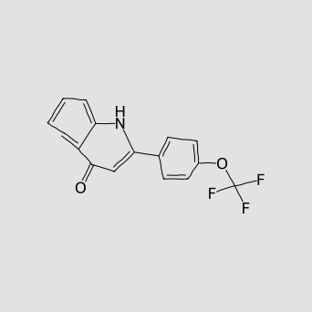 O=c1cc(-c2ccc(OC(F)(F)F)cc2)[nH]c2ccccc12